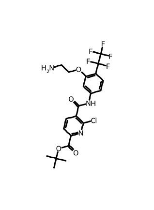 CC(C)(C)OC(=O)c1ccc(C(=O)Nc2ccc(C(F)(F)C(F)(F)F)c(OCCN)c2)c(Cl)n1